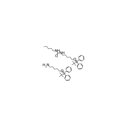 CC(C)(C)[Si](OCCCCCN)(c1ccccc1)c1ccccc1.CCCCCNC(=O)NCCCCCO[Si](c1ccccc1)(c1ccccc1)C(C)(C)C